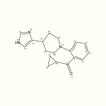 O=C(c1ccccc1N1CCC(c2c[nH]cn2)CC1)C1CC1